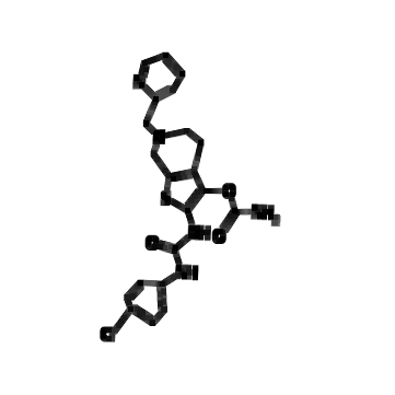 NC(=O)Oc1c(NC(=O)Nc2ccc(Cl)cc2)sc2c1CCN(Cc1ccccn1)C2